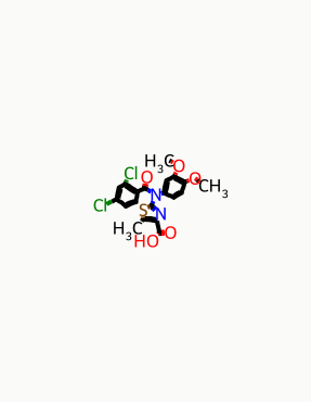 COc1ccc(N(C(=O)c2ccc(Cl)cc2Cl)c2nc(C(=O)O)c(C)s2)cc1OC